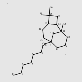 CCCCCCOC12CCCC(C)(C1)C1CC(C)(C)C1CC2